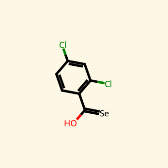 OC(=[Se])c1ccc(Cl)cc1Cl